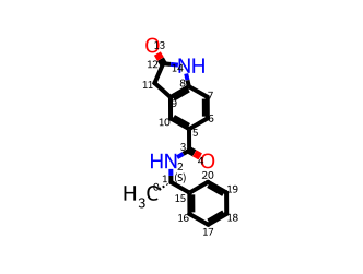 C[C@H](NC(=O)c1ccc2c(c1)CC(=O)N2)c1ccccc1